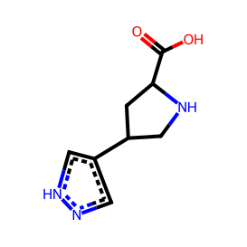 O=C(O)C1CC(c2cn[nH]c2)CN1